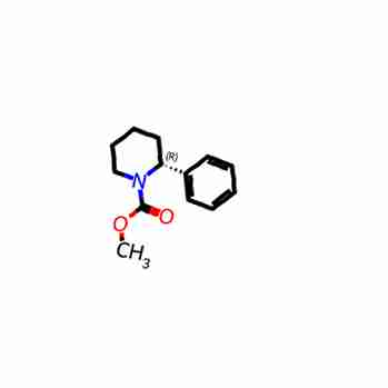 COC(=O)N1CCCC[C@@H]1c1ccccc1